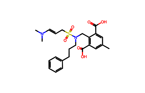 Cc1cc(C(=O)O)c(CN(CCCc2ccccc2)S(=O)(=O)CC=CN(C)C)c(C(=O)O)c1